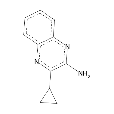 Nc1nc2ccccc2nc1C1CC1